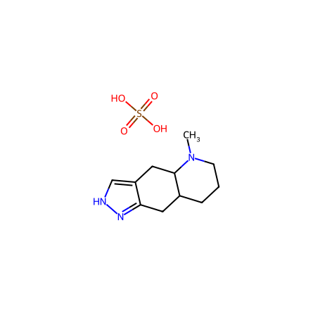 CN1CCCC2Cc3n[nH]cc3CC21.O=S(=O)(O)O